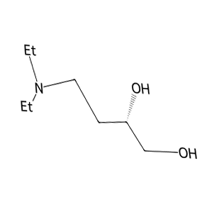 CCN(CC)CC[C@H](O)CO